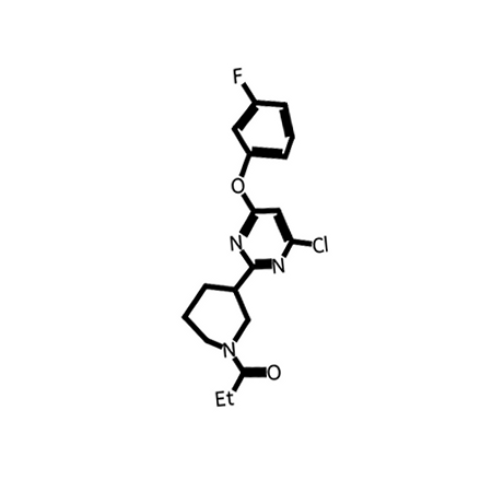 CCC(=O)N1CCCC(c2nc(Cl)cc(Oc3cccc(F)c3)n2)C1